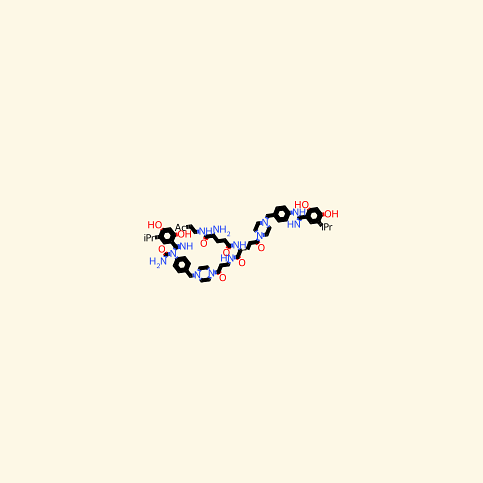 CC(=O)CCNC(=O)[C@H](N)CCC(=O)N[C@H](CCC(=O)N1CCN(Cc2ccc(NC(=N)c3cc(C(C)C)c(O)cc3O)cc2)CC1)C(=O)NCCC(=O)N1CCN(Cc2ccc(N(C(=N)c3cc(C(C)C)c(O)cc3O)C(N)=O)cc2)CC1